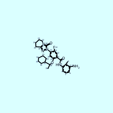 Cc1c(N)cccc1NC(=O)c1cc(F)c(-n2nc3n(c2=O)CCCC3)cc1OC(C)C1CCCCC1